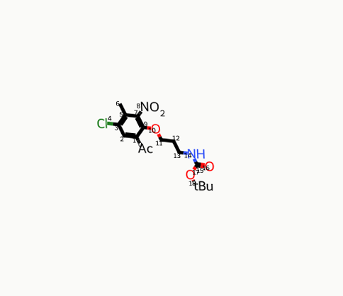 CC(=O)c1cc(Cl)c(C)c([N+](=O)[O-])c1OCCCNC(=O)OC(C)(C)C